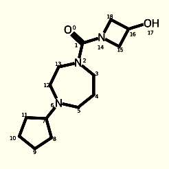 O=C(N1CCCN(C2CCCC2)CC1)N1CC(O)C1